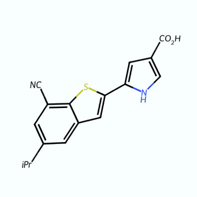 CC(C)c1cc(C#N)c2sc(-c3cc(C(=O)O)c[nH]3)cc2c1